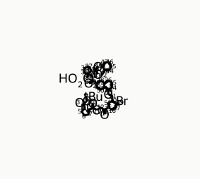 CC(C)(C)OC(=O)N1CCCC1C(=O)OCC(=O)c1ccc(Br)c(COc2cccc3cc(C(=O)CC4(C(=O)O)CCCN4C(=O)OCc4ccccc4)ccc23)c1